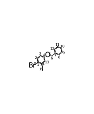 Brc1ccc(OCc2ccccc2)cc1I